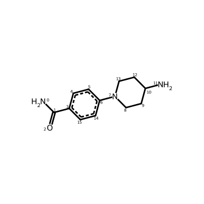 NC(=O)c1ccc(N2CCC(N)CC2)cc1